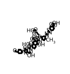 Cc1cc(N=Nc2c(S(=O)(=O)O)cc3c(S(=O)(=O)O)c(N=Nc4c(C(=O)O)nn(-c5ccc(C=O)cc5)c4O)ccc3c2O)c(OCCCS(=O)(=O)O)cc1N=Nc1nc2ccc(S(=O)(=O)O)cc2s1